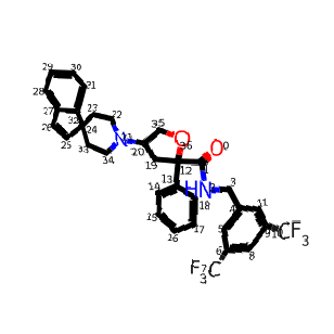 O=C(NCc1cc(C(F)(F)F)cc(C(F)(F)F)c1)C1(c2ccccc2)CC(N2CCC3(C=Cc4ccccc43)CC2)CO1